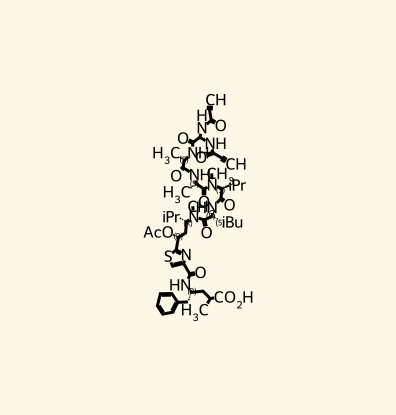 C#CC(=O)NC(NC(=O)C#C)C(=O)N[C@@H](C)C(=O)N[C@@H](C)C(=O)N(C)[C@H](C(=O)N[C@H](C(=O)N(C)[C@H](C[C@@H](OC(C)=O)c1nc(C(=O)N[C@@H](Cc2ccccc2)CC(C)C(=O)O)cs1)C(C)C)[C@@H](C)CC)C(C)C